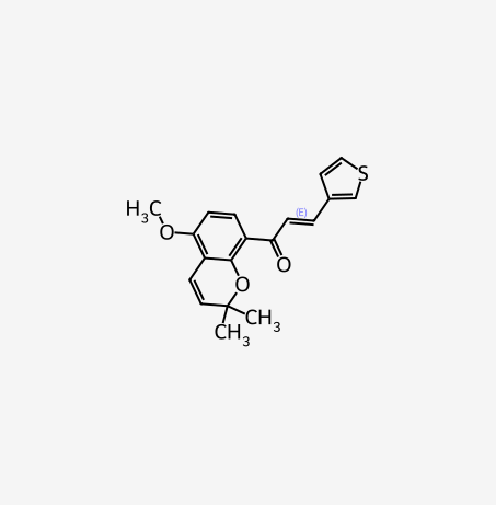 COc1ccc(C(=O)/C=C/c2ccsc2)c2c1C=CC(C)(C)O2